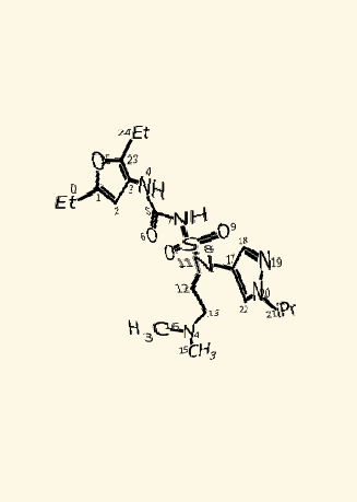 CCc1cc(NC(=O)NS(=O)(=O)N(CCN(C)C)c2cnn(C(C)C)c2)c(CC)o1